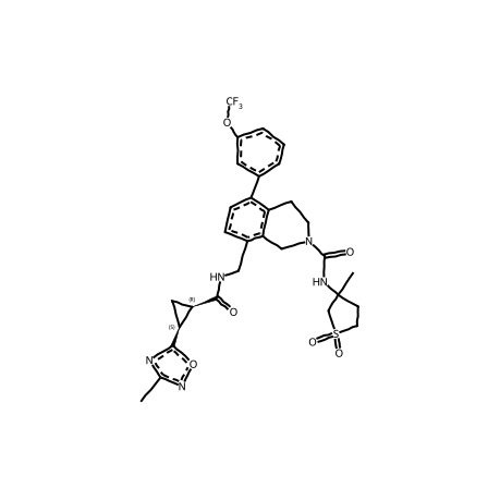 Cc1noc([C@H]2C[C@H]2C(=O)NCc2ccc(-c3cccc(OC(F)(F)F)c3)c3c2CN(C(=O)NC2(C)CCS(=O)(=O)C2)CC3)n1